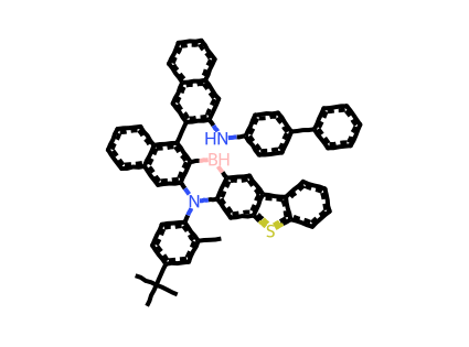 Cc1cc(C(C)(C)C)ccc1N1c2cc3sc4ccccc4c3cc2Bc2c1cc1ccccc1c2-c1cc2ccccc2cc1Nc1ccc(-c2ccccc2)cc1